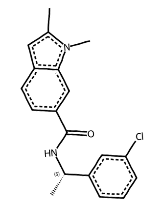 Cc1cc2ccc(C(=O)N[C@@H](C)c3cccc(Cl)c3)cc2n1C